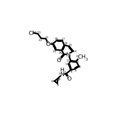 Cc1ccc(C(=O)NC2CC2)cc1-n1ccc2ccc(OCCCCl)cc2c1=O